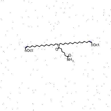 CCCCCCCC/C=C\CCCCCCCCCCCCN(CCCCCCCCCCCC/C=C\CCCCCCCC)C(=O)CCCCC(N)=O